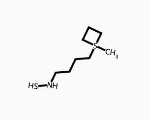 CS1(CCCCNS)CCC1